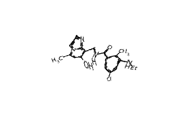 CCNc1cc(Cl)cc(C(=O)NCc2c(O)cc(C)n3ccnc23)c1C